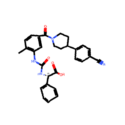 Cc1ccc(C(=O)N2CCC(c3ccc(C#N)cc3)CC2)cc1NC(=O)N[C@H](C(=O)O)c1ccccc1